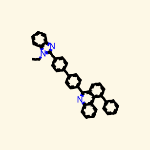 CCn1c(-c2ccc(-c3ccc(-c4nc5ccccc5c5c(-c6ccccc6)cccc45)cc3)cc2)nc2ccccc21